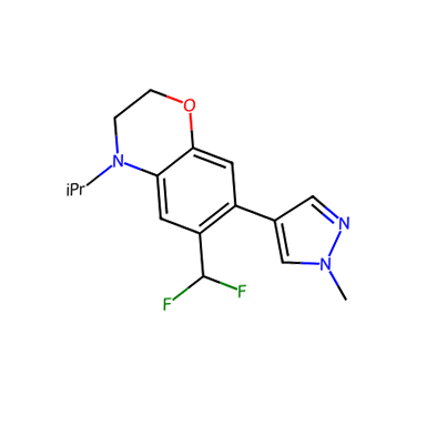 CC(C)N1CCOc2cc(-c3cnn(C)c3)c(C(F)F)cc21